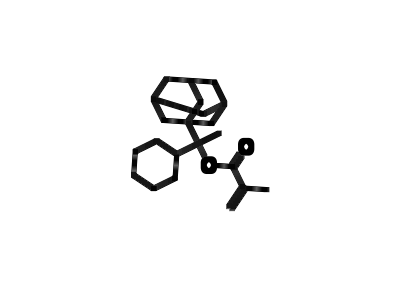 C=C(C)C(=O)OC(C)(C1CCCCC1)C12CC3CC(CC(C3)C1)C2